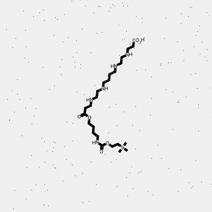 C[Si](C)(C)CCOC(=O)NCCCCOC(=O)CCNCCNCCCCNCCNCCC(=O)O